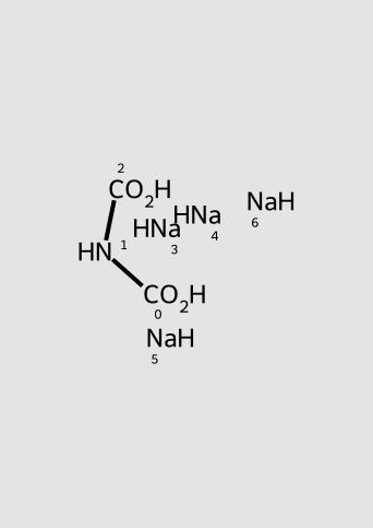 O=C(O)NC(=O)O.[NaH].[NaH].[NaH].[NaH]